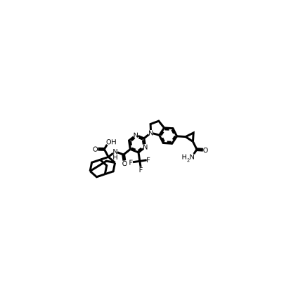 NC(=O)C1CC1c1ccc2c(c1)CCN2c1ncc(C(=O)NC2(C(=O)O)C3CC4CC(C3)CC2C4)c(C(F)(F)F)n1